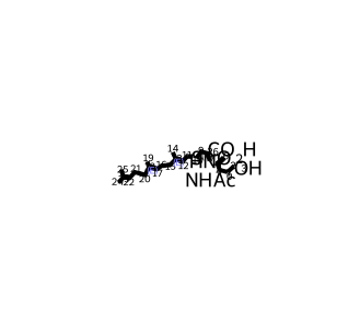 CC(=O)NC(CO)CC(=O)N[C@@H](CSC/C=C(\C)CC/C=C(\C)CCC=C(C)C)C(=O)O